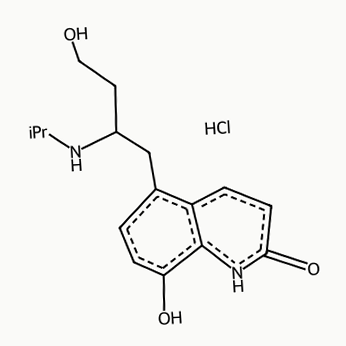 CC(C)NC(CCO)Cc1ccc(O)c2[nH]c(=O)ccc12.Cl